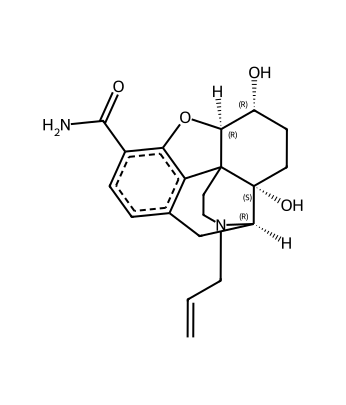 C=CCN1CCC23c4c5ccc(C(N)=O)c4O[C@H]2[C@H](O)CC[C@@]3(O)[C@H]1C5